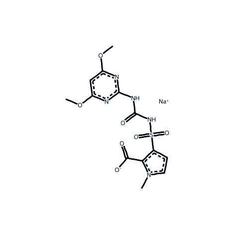 COc1cc(OC)nc(NC(=O)NS(=O)(=O)c2ccn(C)c2C(=O)[O-])n1.[Na+]